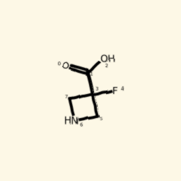 O=C(O)C1(F)CNC1